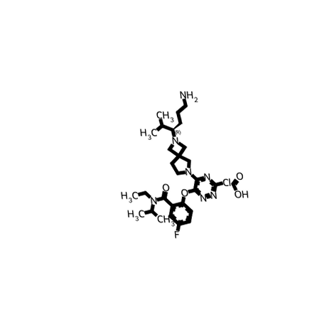 CCN(C(=O)c1cc(F)ccc1Oc1nnc(Cl)nc1N1CCC2(C1)CN([C@H](CCCN)C(C)C)C2)C(C)C.O=CO